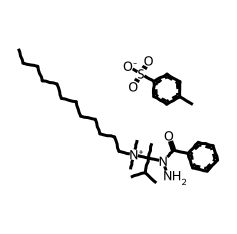 CCCCCCCCCCCC[N+](C)(C)C(C)(C(C)C)N(N)C(=O)c1ccccc1.Cc1ccc(S(=O)(=O)[O-])cc1